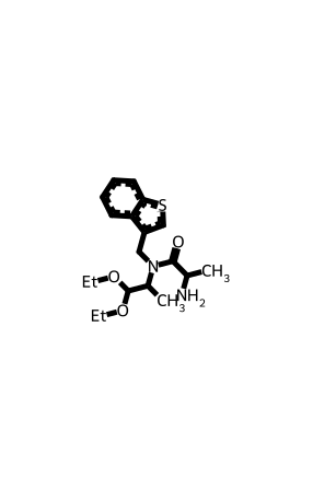 CCOC(OCC)C(C)N(Cc1csc2ccccc12)C(=O)C(C)N